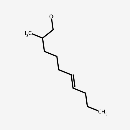 CCC/C=C/CCCC(C)C[O]